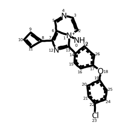 N[N+]12C=CN=CC1=C(C1=CC=C1)N=C2c1ccc(Oc2ccc(Cl)cc2)cc1